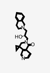 O=C1c2ccncc2C2(CC2)CN1C[C@H](O)CN1CCc2ccccc2C1